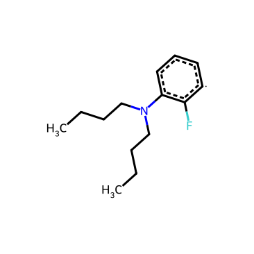 CCCCN(CCCC)c1ccc[c]c1F